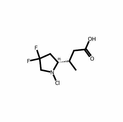 CC(CC(=O)O)[C@H]1CC(F)(F)CN1Cl